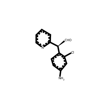 Nc1ccc([C@H](C=O)c2ccccn2)c(Cl)c1